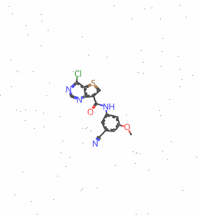 COc1cc(C#N)cc(NC(=O)c2csc3c(Cl)ncnc23)c1